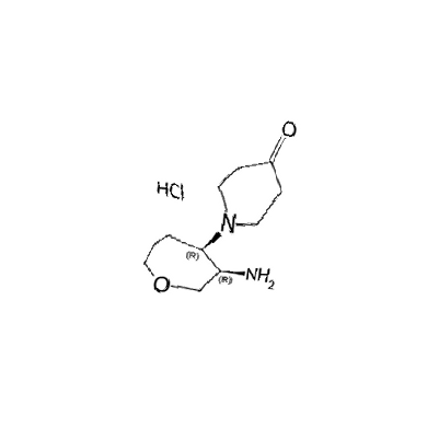 Cl.N[C@H]1COCC[C@H]1N1CCC(=O)CC1